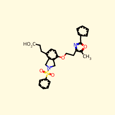 Cc1oc(-c2ccccc2)nc1CCOc1ccc(CCC(=O)O)c2c1CN(S(=O)(=O)c1ccccc1)C2